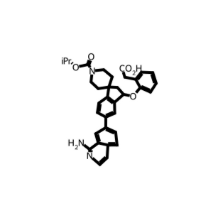 CC(C)OC(=O)N1CCC2(CC1)CC(Oc1ccccc1CC(=O)O)c1cc(-c3ccc4ccnc(N)c4c3)ccc12